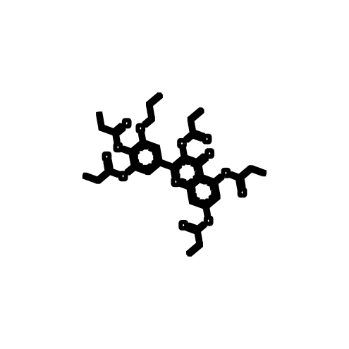 CCCOc1cc(-c2oc3cc(OC(=O)CC)cc(OC(=O)CC)c3c(=O)c2OC(=O)CC)cc(OC(=O)CC)c1OC(=O)CC